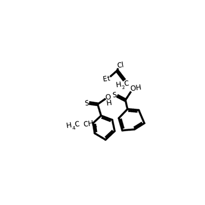 C.C.C=C(Cl)CC.OC(=S)c1ccccc1.OC(=S)c1ccccc1